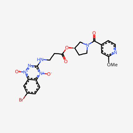 COc1cc(C(=O)N2CC[C@@H](OC(=O)CCNc3n[n+]([O-])c4cc(Br)ccc4[n+]3[O-])C2)ccn1